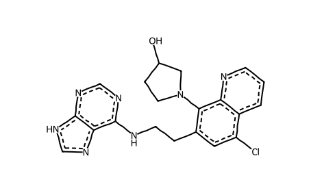 OC1CCN(c2c(CCNc3ncnc4[nH]cnc34)cc(Cl)c3cccnc23)C1